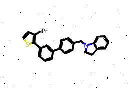 CC(C)c1ccsc1-c1cccc(-c2ccc(CN3CCc4ccccc43)cc2)c1